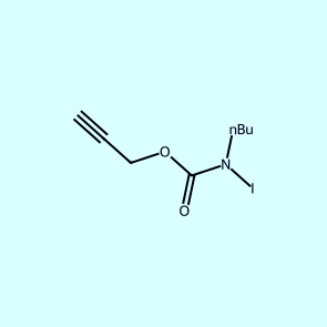 C#CCOC(=O)N(I)CCCC